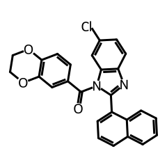 O=C(c1ccc2c(c1)OCCO2)n1c(-c2cccc3ccccc23)nc2ccc(Cl)cc21